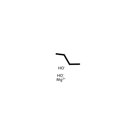 CCCC.[Mg+2].[OH-].[OH-]